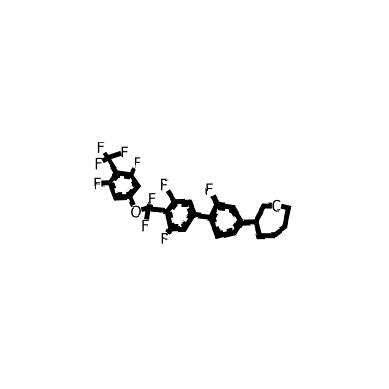 Fc1cc(C2CCCCCC2)ccc1-c1cc(F)c(C(F)(F)Oc2cc(F)c(C(F)(F)F)c(F)c2)c(F)c1